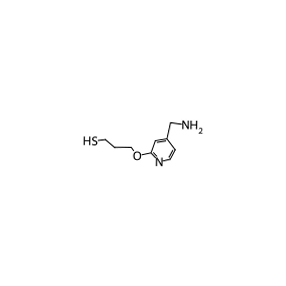 NCc1ccnc(OCCCS)c1